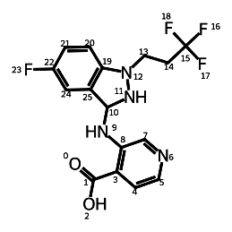 O=C(O)c1ccncc1NC1NN(CCC(F)(F)F)c2ccc(F)cc21